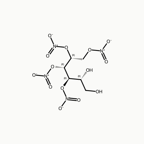 O=[N+]([O-])OC[C@@H](O[N+](=O)[O-])[C@@H](O[N+](=O)[O-])[C@H](O[N+](=O)[O-])[C@H](O)CO